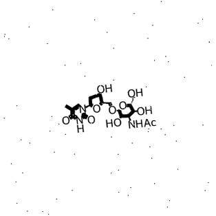 CC(=O)N[C@H]1[C@@H](O)[C@H](OC[C@H]2O[C@@H](n3cc(C)c(=O)[nH]c3=O)CC2O)O[C@H](CO)[C@H]1O